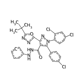 CC(C)(C)c1nnc(-c2nn(-c3ccc(Cl)cc3Cl)c(-c3ccc(Cl)cc3)c2C(=O)NNc2ccccc2)o1